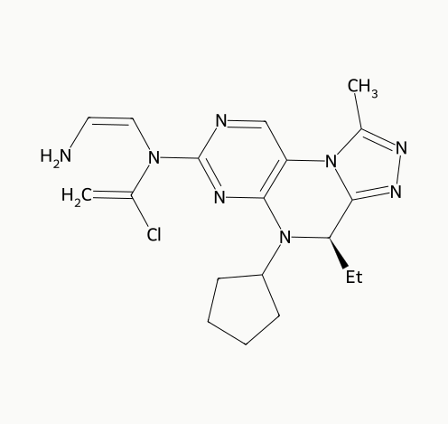 C=C(Cl)N(/C=C\N)c1ncc2c(n1)N(C1CCCC1)[C@H](CC)c1nnc(C)n1-2